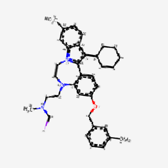 COc1cccc(COc2ccc3c(c2)N(CCN(C)CI)CCn2c-3c(C3CCCCC3)c3ccc(C(=O)O)cc32)c1